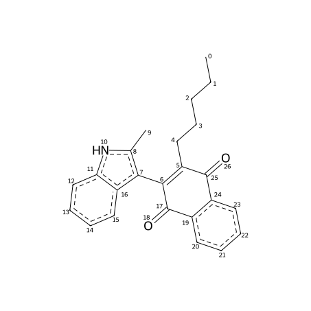 CCCCCC1=C(c2c(C)[nH]c3ccccc23)C(=O)c2ccccc2C1=O